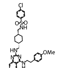 COc1ccc(CCNc2nc(NC[C@H]3CC[C@H](CNS(=O)(=O)c4ccc(Cl)cc4)CC3)nc3ccccc23)cc1